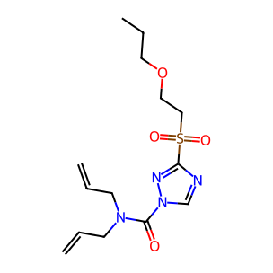 C=CCN(CC=C)C(=O)n1cnc(S(=O)(=O)CCOCCC)n1